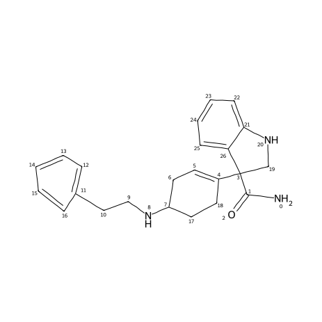 NC(=O)C1(C2=CCC(NCCc3ccccc3)CC2)CNc2ccccc21